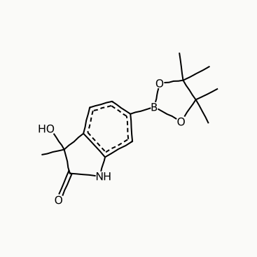 CC1(O)C(=O)Nc2cc(B3OC(C)(C)C(C)(C)O3)ccc21